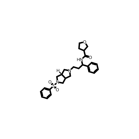 O=C(NC(CCN1CC2CN(S(=O)(=O)c3ccccc3)C[C@@H]2C1)c1ccccc1)C1CCOC1